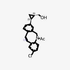 CC(=O)N1Cc2cc([C@H]3C[C@@H]3CO)ccc2/C=C\c2cc(Cl)ccc21